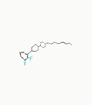 CCCCCCCCC1CCC(C2CCC(c3cccc(F)c3F)CC2)CC1